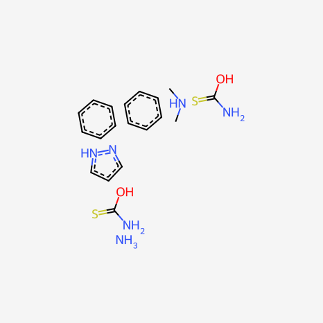 CNC.N.NC(O)=S.NC(O)=S.c1ccccc1.c1ccccc1.c1cn[nH]c1